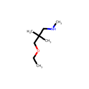 CCOCC(C)(C)CNC